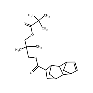 CC(C)(COC(=O)C1CC2CC1C1C3C=CC(C3)C21)COC(=O)C(C)(C)C